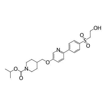 CC(C)OC(=O)N1CCC(COc2ccc(-c3ccc(S(=O)(=O)CCO)cc3)nc2)CC1